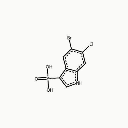 O=P(O)(O)c1c[nH]c2cc(Cl)c(Br)cc12